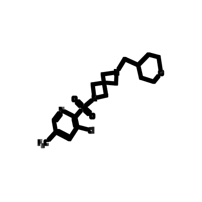 O=S(=O)(c1ncc(C(F)(F)F)cc1Cl)N1CC2(CN(CC3CCOCC3)C2)C1